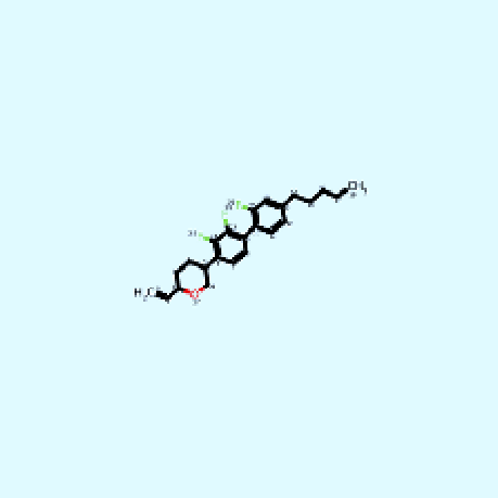 C=CC1CCC(c2ccc(-c3ccc(CCCCC)cc3F)c(F)c2F)CO1